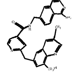 Cc1cnc2c(C(=O)O)cc(Cc3cc(C(=O)NCc4ccc5c(N)nccc5c4)ccn3)cc2c1